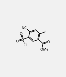 COC(=O)c1cc(S(=O)(=O)Cl)c(C#N)cc1F